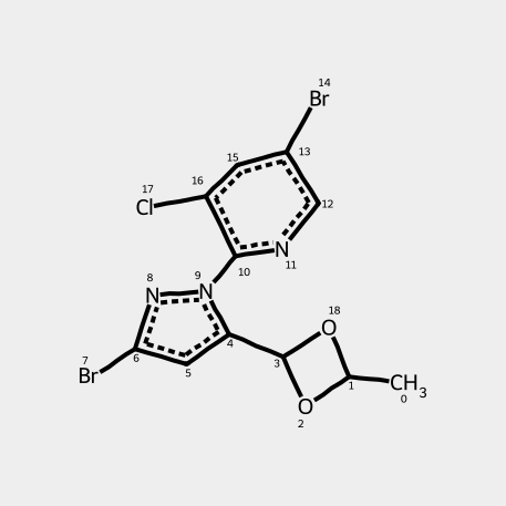 CC1OC(c2cc(Br)nn2-c2ncc(Br)cc2Cl)O1